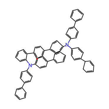 C1=CCC(c2ccc(N(c3ccc(-c4ccccc4)cc3)c3ccc(-c4ccc(-c5ccccc5N(c5ccc(-c6ccccc6)cc5)c5ccc(-c6ccccc6)cc5)cc4)cc3)cc2)C=C1